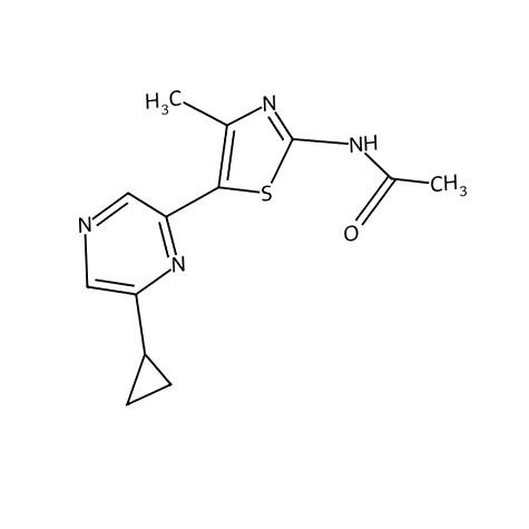 CC(=O)Nc1nc(C)c(-c2cncc(C3CC3)n2)s1